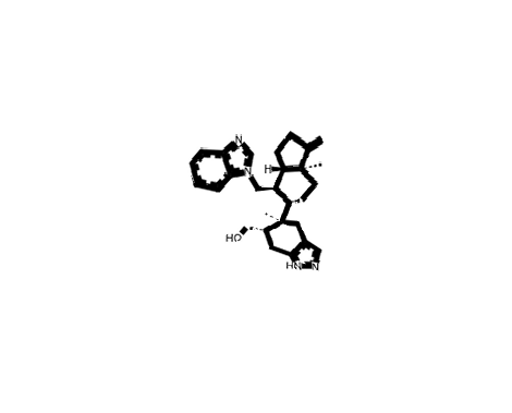 C=C1CC[C@H]2[C@H](Cn3cnc4ccccc43)[C@@H]([C@@]3(C)Cc4cn[nH]c4C[C@@H]3CO)CC[C@]12C